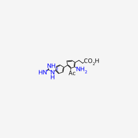 CC(=O)c1c(-c2ccc(NC(=N)N)cc2)ccc(CCC(=O)O)c1N